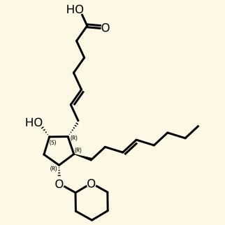 CCCCC=CCC[C@@H]1[C@@H](CC=CCCCC(=O)O)[C@@H](O)C[C@H]1OC1CCCCO1